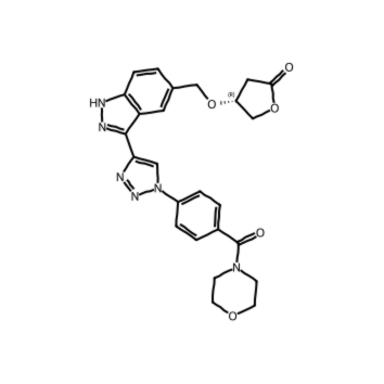 O=C1C[C@@H](OCc2ccc3[nH]nc(-c4cn(-c5ccc(C(=O)N6CCOCC6)cc5)nn4)c3c2)CO1